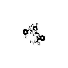 CO[C@H]1[C@@H](C(=O)N(F)c2cccc(Br)c2)N(C(=O)Cn2nc(C(N)=O)c3ccccc32)C[C@@H]1F